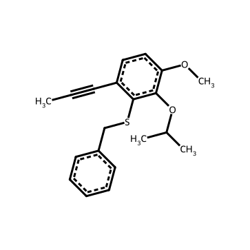 CC#Cc1ccc(OC)c(OC(C)C)c1SCc1ccccc1